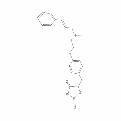 CN(CC=Cc1ccccc1)CCOc1ccc(CC2SC(=O)NC2=O)cc1